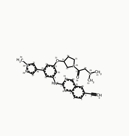 C#Cc1ccc2nc(Nc3cc(OC4CCN(C(=O)CN(C)C)C4)cc(-c4cnn(C)c4)c3)ncc2c1